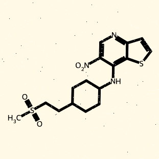 CS(=O)(=O)CCC1CCC(Nc2c([N+](=O)[O-])cnc3ccsc23)CC1